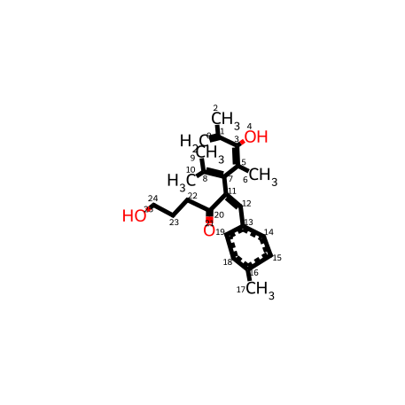 C=C(C)/C(O)=C(/C)C(=C(C)C)/C(=C/c1ccc(C)cc1)C(=O)CCCO